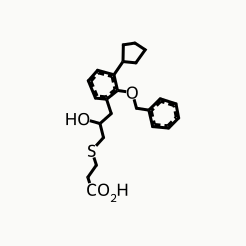 O=C(O)CCSCC(O)Cc1cccc(C2CCCC2)c1OCc1ccccc1